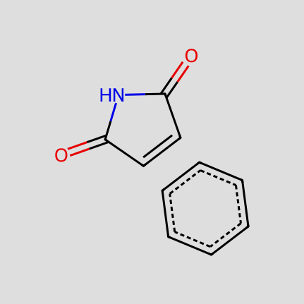 O=C1C=CC(=O)N1.c1ccccc1